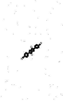 N#Cc1ccc(-c2cc3c(=O)c(-c4ccc(C#N)cc4)cc=3c2=O)cc1